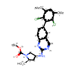 COc1cc(OC)c(Cl)c(-c2ccc3nc(N[C@H]4C[C@@H](C(=O)O)N(C(=O)OC(C)(C)C)C4)ncc3c2)c1Cl